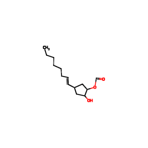 CCCCCCC=CC1CC(O)C(OC=O)C1